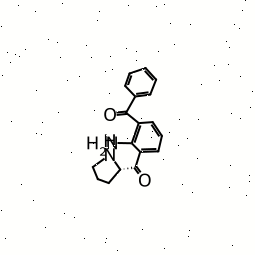 Nc1c(C(=O)c2ccccc2)cccc1C(=O)[C@@H]1CCCN1